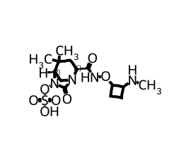 CNC1CCC1ONC(=O)[C@@H]1CC(C)(C)[C@@H]2CN1C(=O)N2OS(=O)(=O)O